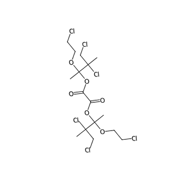 CC(Cl)(CCl)C(C)(OCCCl)OC(=O)C(=O)OC(C)(OCCCl)C(C)(Cl)CCl